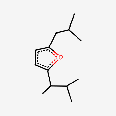 CC(C)Cc1ccc(C(C)C(C)C)o1